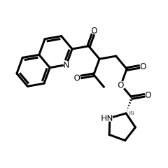 CC(=O)C(CC(=O)OC(=O)[C@@H]1CCCN1)C(=O)c1ccc2ccccc2n1